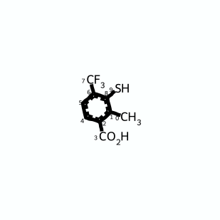 Cc1c(C(=O)O)ccc(C(F)(F)F)c1S